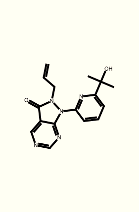 C=CCn1c(=O)c2cncnc2n1-c1cccc(C(C)(C)O)n1